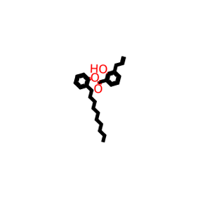 C=CCc1cccc(C(=O)Oc2ccccc2CCCCCCCCCC)c1O